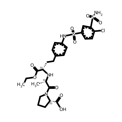 CCOC(=O)[C@H](CCc1ccc(NS(=O)(=O)c2ccc(Cl)c(S(N)(=O)=O)c2)cc1)N[C@@H](C)C(=O)N1CCC[C@H]1C(=O)O